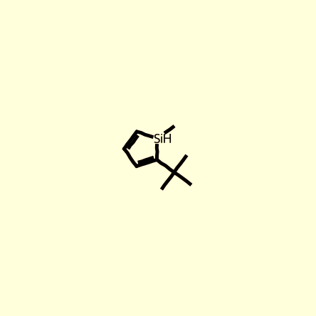 C[SiH]1C=CC=C1C(C)(C)C